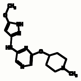 COc1cc(Nc2cncc(OC3CCN(C)CC3)n2)n[nH]1